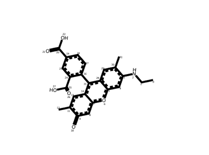 CCNc1cc2oc3cc(=O)c(C)cc-3c(-c3ccc(C(=O)O)cc3C(=O)O)c2cc1C